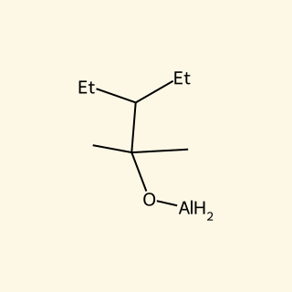 CCC(CC)C(C)(C)[O][AlH2]